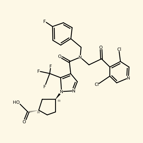 O=C(CN(Cc1ccc(F)cc1)C(=O)c1cnn([C@H]2CC[C@H](C(=O)O)C2)c1C(F)(F)F)c1c(Cl)cncc1Cl